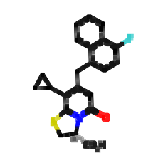 O=C(O)[C@@H]1CSc2c(C3CC3)c(Cc3ccc(F)c4ccccc34)cc(=O)n21